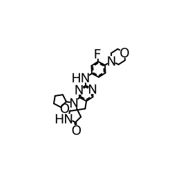 O=C1CC2(Cc3cnc(Nc4ccc(N5CCOCC5)c(F)c4)nc3N2C2CCCC2)C(=O)N1